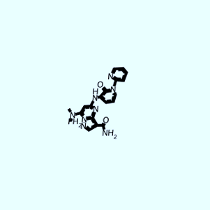 CN(P)c1cc(Nc2cccn(-c3ccccn3)c2=O)nc2c(C(N)=O)cnn12